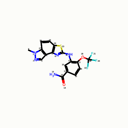 Cn1ncc2c3nc(Nc4cc(C(N)=O)ccc4OC(F)(F)F)sc3ccc21